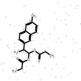 CCC(=O)OC(OC(=O)CC)C(C)c1ccc2cc(C)ccc2c1